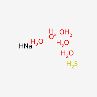 O.O.O.O.O.S.[NaH]